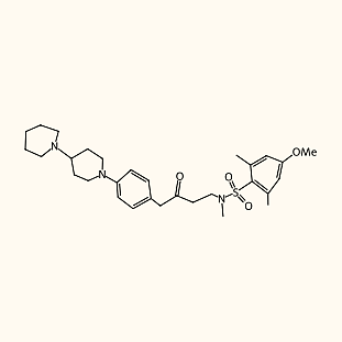 COc1cc(C)c(S(=O)(=O)N(C)CCC(=O)Cc2ccc(N3CCC(N4CCCCC4)CC3)cc2)c(C)c1